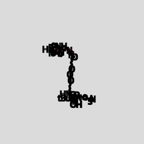 Cc1ccc(NC(=O)c2ccc(CN3CCN(C(=O)CCCCCOCCOCCOCCCCCCN[C@H](C(=O)N4C[C@H](O)C[C@H]4C(=O)NCc4ccc(-c5scnc5C)cc4)C(C)(C)C)CC3)cc2)cc1Nc1nccc(-c2cccnc2)n1